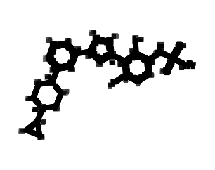 CCCS(=O)(=O)Nc1ccc(F)c(-n2cc(-c3cncc(N4CCN(C5CC5)CC4)c3)nn2)c1F